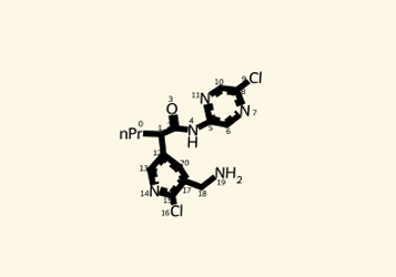 CCCC(C(=O)Nc1cnc(Cl)cn1)c1cnc(Cl)c(CN)c1